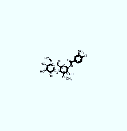 O.O=C(N[C@@H]1O[C@H](CO)[C@@H](O[C@H]2O[C@H](CO)[C@@H](O)[C@H](O)[C@H]2O)[C@H](O)[C@H]1O)c1ccc(Cl)c([N+](=O)[O-])c1